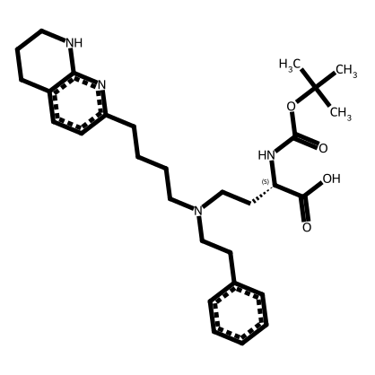 CC(C)(C)OC(=O)N[C@@H](CCN(CCCCc1ccc2c(n1)NCCC2)CCc1ccccc1)C(=O)O